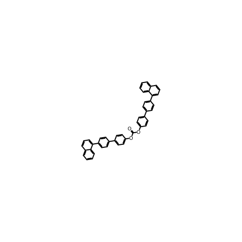 O=C(Oc1ccc(-c2ccc(-c3cccc4ccccc34)cc2)cc1)Oc1ccc(-c2ccc(-c3cccc4ccccc34)cc2)cc1